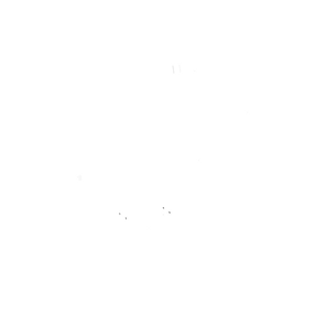 Cc1cccc(OC(=O)C2=NC(=O)N=C2CBr)c1